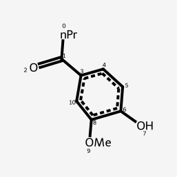 CCCC(=O)c1ccc(O)c(OC)c1